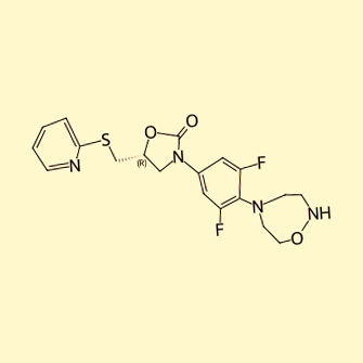 O=C1O[C@@H](CSc2ccccn2)CN1c1cc(F)c(N2CCNOCC2)c(F)c1